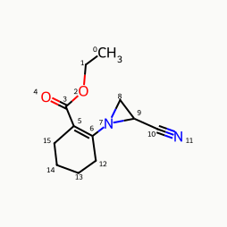 CCOC(=O)C1=C(N2CC2C#N)CCCC1